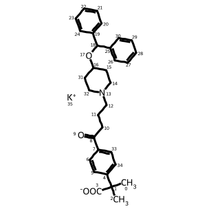 CC(C)(C(=O)[O-])c1ccc(C(=O)CCCN2CCC(OC(c3ccccc3)c3ccccc3)CC2)cc1.[K+]